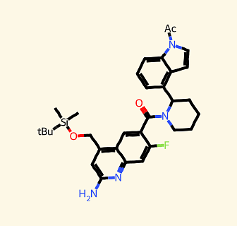 CC(=O)n1ccc2c(C3CCCCN3C(=O)c3cc4c(CO[Si](C)(C)C(C)(C)C)cc(N)nc4cc3F)cccc21